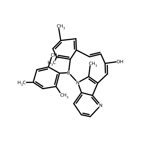 Cc1cc(C)c(B2c3c(C)cc(C)cc3/C=C/C(O)=C\c3c(C)n2c2cccnc32)c(C)c1